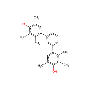 Cc1cc(-c2cccc(-c3cc(C)c(O)c(C)c3C)c2)c(C)c(C)c1O